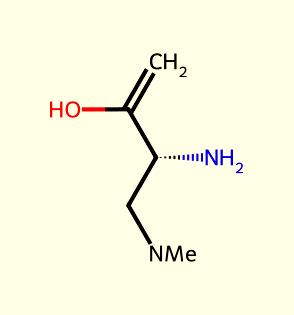 C=C(O)[C@H](N)CNC